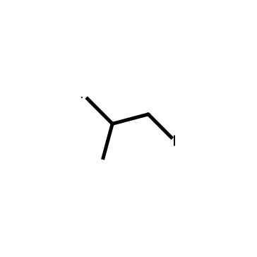 [CH2]C(C)CI